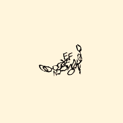 CCn1c(COCc2ccccc2)nn(-c2cc(OC(C)C(F)(F)F)c3c(OC4CCOCC4)nccc3c2)c1=O